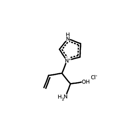 C=CC(C(N)O)[n+]1cc[nH]c1.[Cl-]